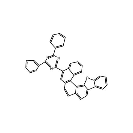 c1ccc(-c2nc(-c3ccccc3)nc(-c3cc4ccc5ccc6c7ccccc7oc6c5c4c4ccccc34)n2)cc1